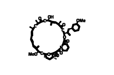 CO[C@H]1CCC[C@@H](CC(C)[C@@H]2CC(=O)[C@H](C)/C=C(\C)[C@@H](O)CC(=O)[C@H](C)C[C@H](C)/C=C/C=C/C=C(\C)[C@@H](OC)C[C@@H]3CC[C@@H](C)[C@@](O)(O3)C(=O)C(=O)N3CCCC[C@H]3C(=O)O2)C1